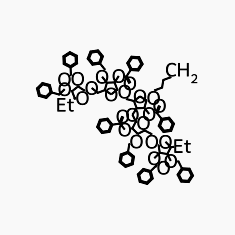 C=CCCCOC1OC(COC2OC(COC3OC(CC)C(OCc4ccccc4)C3OC(=O)c3ccccc3)C(OCc3ccccc3)C2OC(=O)c2ccccc2)C(OC2OC(COC3OC(CC)C(OCc4ccccc4)C3OC(=O)c3ccccc3)C(OCc3ccccc3)C2OC(=O)c2ccccc2)C1OC(=O)c1ccccc1